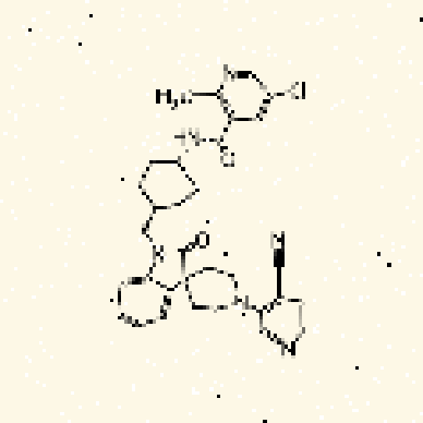 Cc1ncc(Cl)cc1C(=O)N[C@H]1CC[C@H](CN2C(=O)C3(CCN(c4cnccc4C#N)CC3)c3ccccc32)CC1